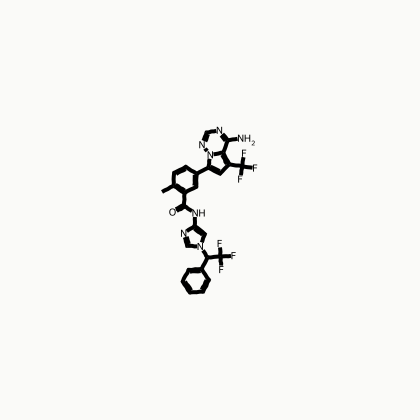 Cc1ccc(-c2cc(C(F)(F)F)c3c(N)ncnn23)cc1C(=O)Nc1cn(C(c2ccccc2)C(F)(F)F)cn1